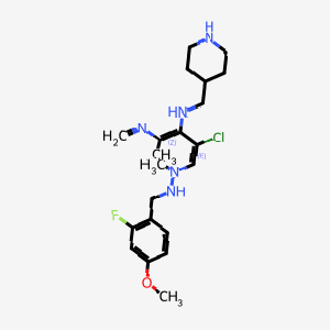 C=N/C(C)=C(NCC1CCNCC1)/C(Cl)=C\N(C)NCc1ccc(OC)cc1F